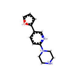 c1coc(-c2ccc(N3CCNCC3)nc2)c1